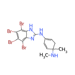 CNC1(C)C=CC(Nc2nc3c(Br)c(Br)c(Br)c(Br)c3[nH]2)=CC1